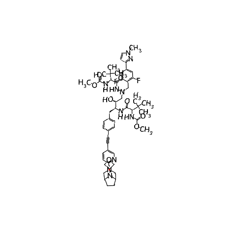 COC(=O)NC(C(=O)N[C@@H](Cc1ccc(C#Cc2ccc(N3CC4CCC(C3)N4C3COC3)nc2)cc1)[C@@H](O)CN(Cc1c(F)cc(-c2ccn(C)n2)cc1F)NC(=O)[C@@H](NC(=O)OC)C(C)(C)C)C(C)(C)C